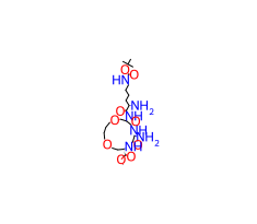 COC(=O)[C@@H]1CCOCCCCOC[C@H](NC(=O)[C@@H](N)CCCCNC(=O)OC(C)(C)C)C(=O)N[C@@H](N)C(=O)N1